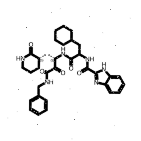 O=C(NCc1ccccc1)C(=O)[C@H](C[C@@H]1CCCNC1=O)NC(=O)C(CC1CCCCC1)NC(=O)c1nc2ccccc2[nH]1